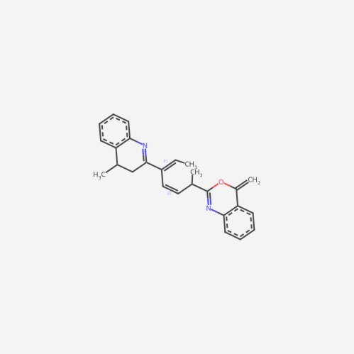 C=C1OC(C(C)/C=C\C(=C/C)C2=Nc3ccccc3C(C)C2)=Nc2ccccc21